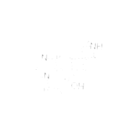 OC1(C2CC3(CNC3)C2)CCn2cncc21